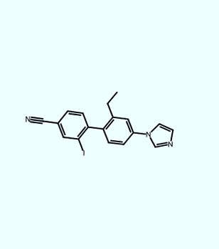 CCc1cc(-n2ccnc2)ccc1-c1ccc(C#N)cc1I